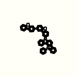 c1ccc(-n2c3ccccc3c3ccc4c(c5ccccc5n4-c4ccc5oc6ccc(-c7ccc8c(c7)oc7ccccc78)cc6c5c4)c32)cc1